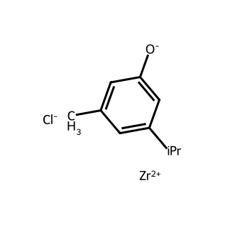 Cc1cc([O-])cc(C(C)C)c1.[Cl-].[Zr+2]